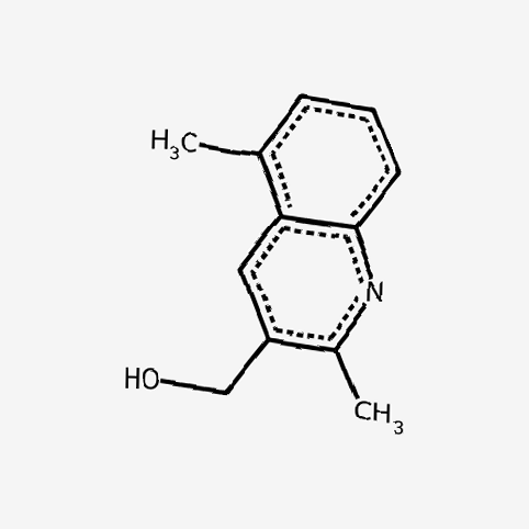 Cc1nc2cccc(C)c2cc1CO